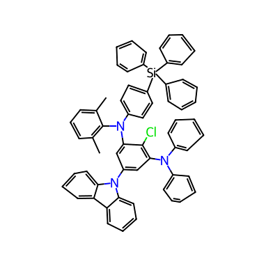 Cc1cccc(C)c1N(c1ccc([Si](c2ccccc2)(c2ccccc2)c2ccccc2)cc1)c1cc(-n2c3ccccc3c3ccccc32)cc(N(c2ccccc2)c2ccccc2)c1Cl